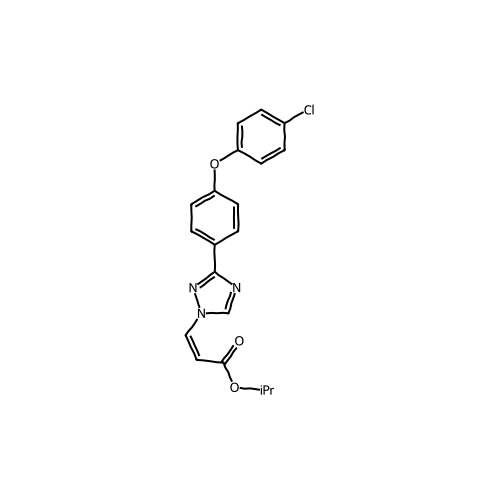 CC(C)OC(=O)/C=C\n1cnc(-c2ccc(Oc3ccc(Cl)cc3)cc2)n1